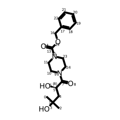 CC(C)(O)C[C@@H](O)C(=O)N1CCN(C(=O)OCc2ccccc2)CC1